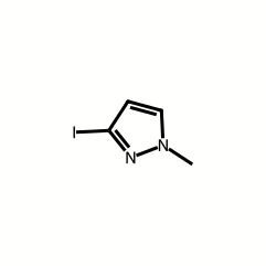 Cn1ccc(I)n1